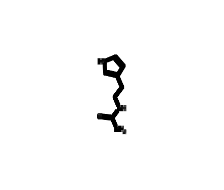 NC(=O)NCCc1cc[nH]c1